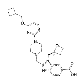 O=C(O)c1ccc2nc(CN3CCN(c4cccc(OCC5CCC5)n4)CC3)n(C[C@@H]3CCO3)c2c1